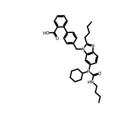 CCCCNC(=O)N(c1ccc2nc(CCCC)n(Cc3ccc(-c4ccccc4C(=O)O)cc3)c2c1)C1CCCCC1